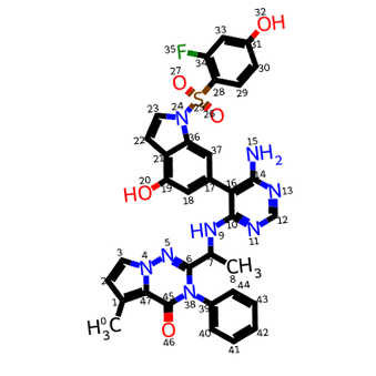 Cc1ccn2nc(C(C)Nc3ncnc(N)c3-c3cc(O)c4ccn(S(=O)(=O)c5ccc(O)cc5F)c4c3)n(-c3ccccc3)c(=O)c12